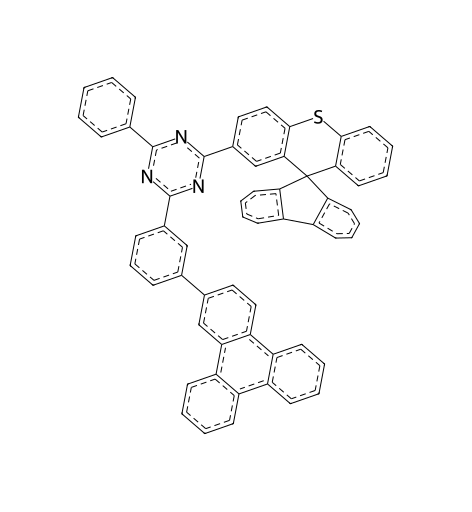 c1ccc(-c2nc(-c3cccc(-c4ccc5c6ccccc6c6ccccc6c5c4)c3)nc(-c3ccc4c(c3)C3(c5ccccc5S4)c4ccccc4-c4ccccc43)n2)cc1